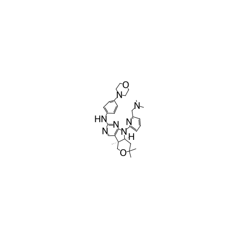 CN(C)Cc1cccc(N2c3nc(Nc4ccc(N5CCOCC5)cc4)ncc3[C@]3(C)COC(C)(C)C[C@H]23)n1